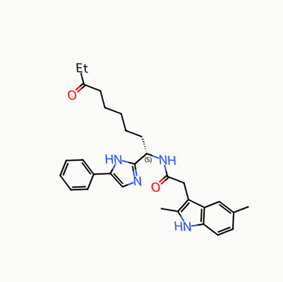 CCC(=O)CCCCC[C@H](NC(=O)Cc1c(C)[nH]c2ccc(C)cc12)c1ncc(-c2ccccc2)[nH]1